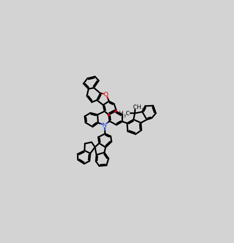 CC1(C)c2ccccc2-c2cccc(-c3cccc(N(c4ccc5c(c4)C4(CCc6ccccc64)c4ccccc4-5)c4ccccc4-c4cccc5oc6c7ccccc7ccc6c45)c3)c21